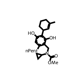 CCCCCc1cc(O)c(C2C=C(C)CCC2)c(O)c1CN(C(=O)OC)C1CC1